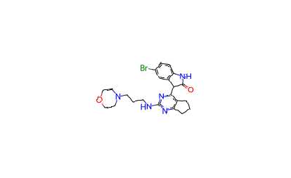 O=C1Nc2ccc(Br)cc2C1c1nc(NCCCN2CCOCC2)nc2c1CCC2